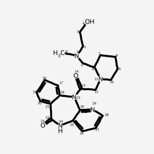 CN(CCO)CC1CCCCN1CC(=O)N1c2ccccc2C(=O)Nc2cccnc21